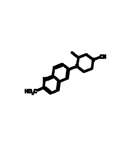 CC1CB(C#N)CCN1c1ccc2nc(C(=O)O)ccc2c1